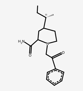 CC[C@H](C)C1CCN(CC(=O)c2ccccc2)C(C(N)=O)C1